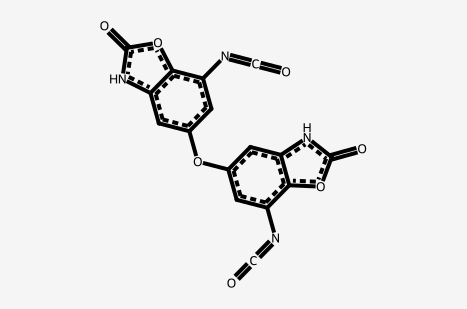 O=C=Nc1cc(Oc2cc(N=C=O)c3oc(=O)[nH]c3c2)cc2[nH]c(=O)oc12